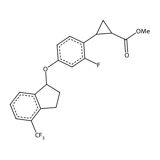 COC(=O)C1CC1c1ccc(OC2CCc3c2cccc3C(F)(F)F)cc1F